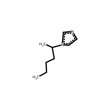 [CH2]C(CCCC)n1ccnc1